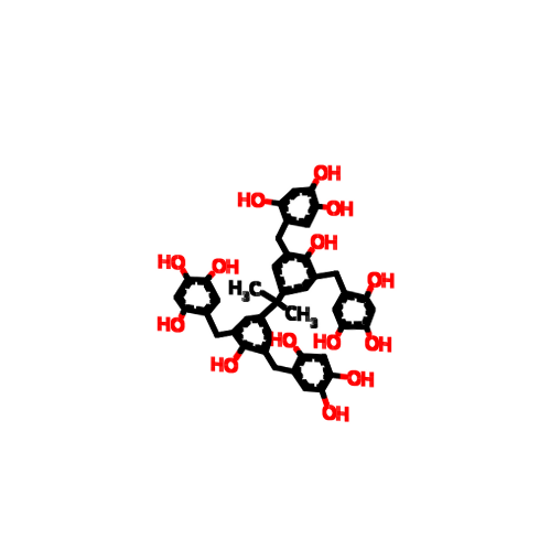 CC(C)(c1cc(Cc2cc(O)c(O)cc2O)c(O)c(Cc2cc(O)c(O)cc2O)c1)c1cc(Cc2cc(O)c(O)cc2O)c(O)c(Cc2cc(O)c(O)cc2O)c1